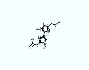 CCCc1cn(C)c(-c2cn(C)c(CC(C)C)n2)n1